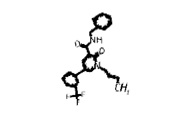 CCCCn1cc(-c2cccc(C(F)(F)F)c2)cc(C(=O)NCc2ccccc2)c1=O